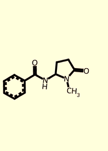 CN1C(=O)CCC1NC(=O)c1ccccc1